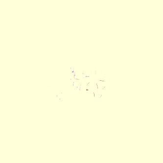 C#Cc1c(F)ccc2cc(O)cc(-c3cc4nc(OCC56CCCN5C[C@H](F)C6)nc(N5CC6CCC(C5)N6)c4nc3Cl)c12